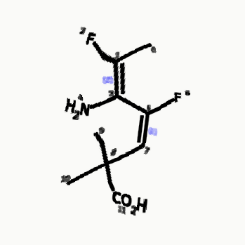 C/C(F)=C(N)\C(F)=C/C(C)(C)C(=O)O